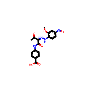 COc1cc(N=O)ccc1N/N=C(/C(C)=O)C(=O)Nc1ccc(C(=O)O)cc1